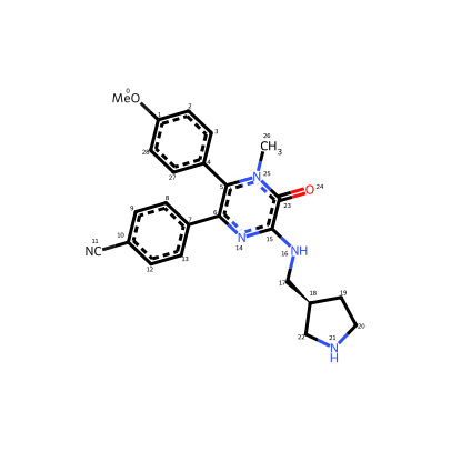 COc1ccc(-c2c(-c3ccc(C#N)cc3)nc(NC[C@H]3CCNC3)c(=O)n2C)cc1